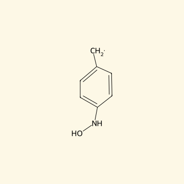 [CH2]c1ccc(NO)cc1